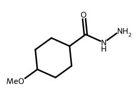 COC1CCC(C(=O)NN)CC1